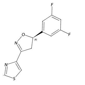 Fc1cc(F)cc([C@H]2CC(c3cs[c]n3)=NO2)c1